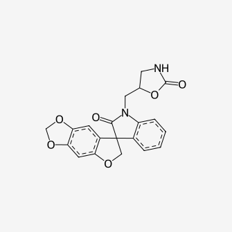 O=C1NCC(CN2C(=O)C3(COc4cc5c(cc43)OCO5)c3ccccc32)O1